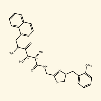 COc1ccccc1CC1CSC(CNC(=O)[C@H](O)[C@@H](O)C(=O)N(C)Cc2cccc3ccccc23)=N1